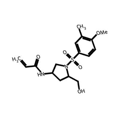 C=CC(=O)NC1CC(CO)N(S(=O)(=O)c2ccc(OC)c(C)c2)C1